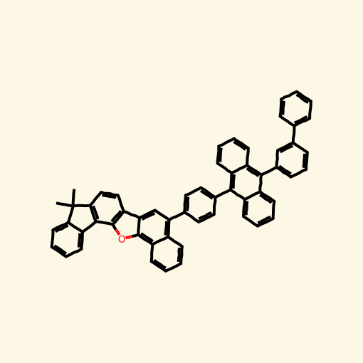 CC1(C)c2ccccc2-c2c1ccc1c2oc2c3ccccc3c(-c3ccc(-c4c5ccccc5c(-c5cccc(-c6ccccc6)c5)c5ccccc45)cc3)cc12